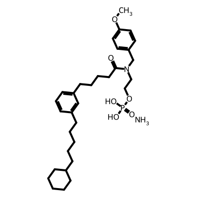 COc1ccc(CN(CCOP(=O)(O)O)C(=O)CCCCc2cccc(CCCCCC3CCCCC3)c2)cc1.N